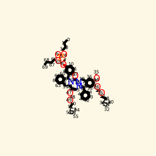 CCCCOP(=O)(COc1cccc(CN2C(=O)N(Cc3ccc(OCOCC[Si](C)(C)C)c(OC)c3)N(Cc3ccccc3)C[C@@H](OCOCC[Si](C)(C)C)[C@H]2Cc2ccccc2)c1)OCCCC